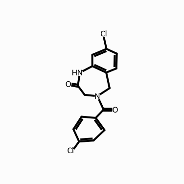 O=C1CN(C(=O)c2ccc(Cl)cc2)Cc2ccc(Cl)cc2N1